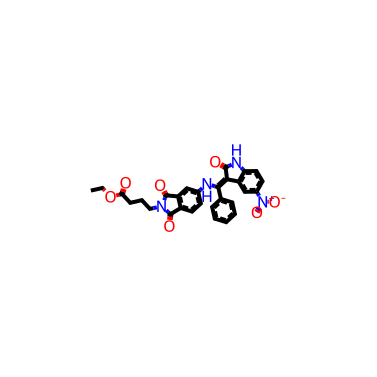 CCOC(=O)CCCN1C(=O)c2ccc(NC(=C3C(=O)Nc4ccc([N+](=O)[O-])cc43)c3ccccc3)cc2C1=O